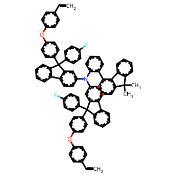 C=Cc1ccc(Oc2ccc(C3(c4ccc(F)cc4)c4ccccc4-c4ccc(N(c5ccc6c(c5)C(c5ccc(F)cc5)(c5ccc(Oc7ccc(C=C)cc7)cc5)c5ccccc5-6)c5ccccc5-c5cccc6c5-c5ccccc5C6(C)C)cc43)cc2)cc1